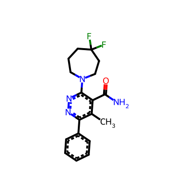 Cc1c(-c2ccccc2)nnc(N2CCCC(F)(F)CC2)c1C(N)=O